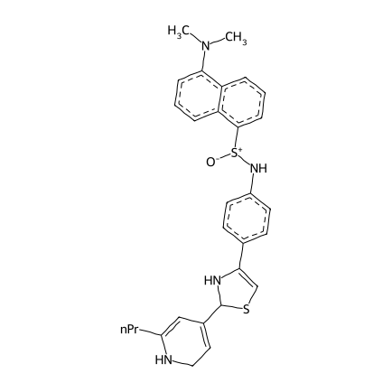 CCCC1=CC(C2NC(c3ccc(N[S+]([O-])c4cccc5c(N(C)C)cccc45)cc3)=CS2)=CCN1